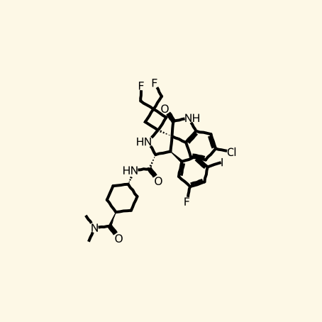 CN(C)C(=O)[C@H]1CC[C@H](NC(=O)[C@@H]2NC3(CC(CF)(CF)C3)[C@@]3(C(=O)Nc4cc(Cl)ccc43)[C@H]2c2cc(F)cc(I)c2)CC1